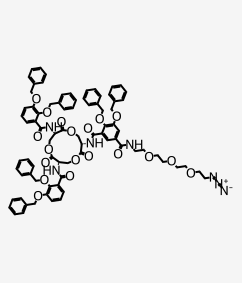 [N-]=[N+]=NCCOCCOCCOCCNC(=O)c1cc(OCc2ccccc2)c(OCc2ccccc2)c(C(=O)N[C@H]2COC(=O)[C@@H](NC(=O)c3cccc(OCc4ccccc4)c3OCc3ccccc3)COC(=O)[C@@H](NC(=O)c3cccc(OCc4ccccc4)c3OCc3ccccc3)COC2=O)c1